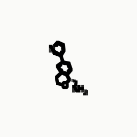 NC[C@@H]1OCCc2cc(-c3cccnc3)ccc21